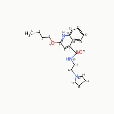 CCCCOc1cc(C(=O)NCCN2CCCC2)c2ccccc2n1